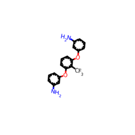 Nc1cccc(Oc2cccc(Oc3cccc(N)c3)c2C(F)(F)F)c1